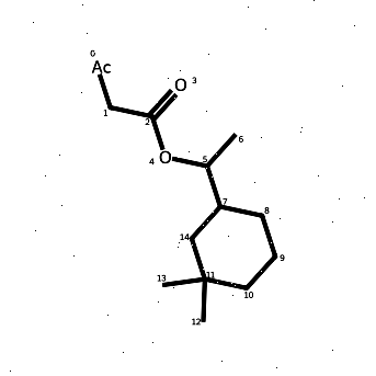 CC(=O)CC(=O)OC(C)C1CCCC(C)(C)C1